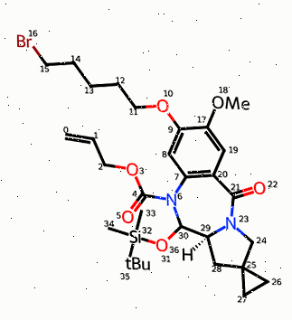 C=CCOC(=O)N1c2cc(OCCCCCBr)c(OC)cc2C(=O)N2CC3(CC3)C[C@H]2C1O[Si](C)(C)C(C)(C)C